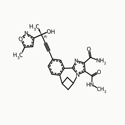 CNC(=O)c1c(C(N)=O)nc2n1C1CC(C1)c1ccc(C#C[C@@](C)(O)c3cc(C)on3)cc1-2